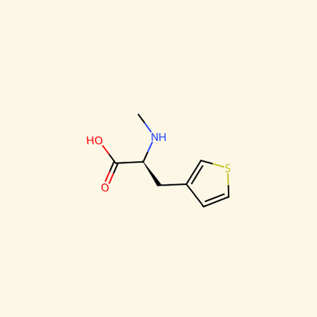 CN[C@@H](Cc1ccsc1)C(=O)O